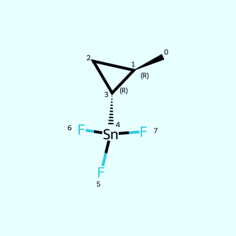 C[C@@H]1C[C@H]1[Sn]([F])([F])[F]